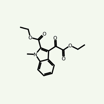 CCOC(=O)C(=O)c1c(C(=O)OCC)n(C)c2ccccc12